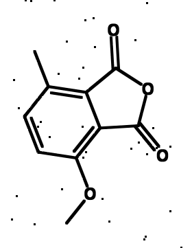 COc1ccc(C)c2c1C(=O)OC2=O